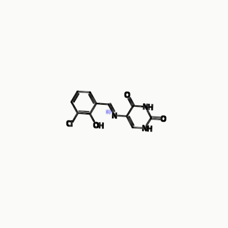 O=c1[nH]cc(/N=C/c2cccc(Cl)c2O)c(=O)[nH]1